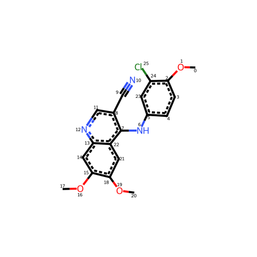 COc1ccc(Nc2c(C#N)cnc3cc(OC)c(OC)cc23)cc1Cl